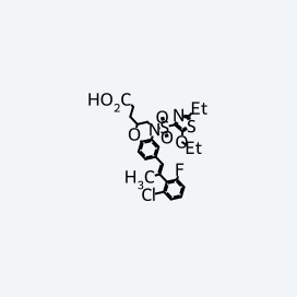 CCOc1sc(CC)nc1S(=O)(=O)N1CC(CCC(=O)O)Oc2ccc(C=C(C)c3c(F)cccc3Cl)cc21